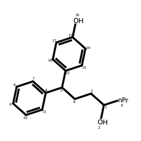 CCCC(O)CCC(c1ccccc1)c1ccc(O)cc1